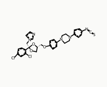 S=C=Nc1ccc(N2CCN(c3ccc(OC[C@@H]4CO[C@@](Cn5ccnc5)(c5ccc(Cl)cc5Cl)O4)cc3)CC2)cc1